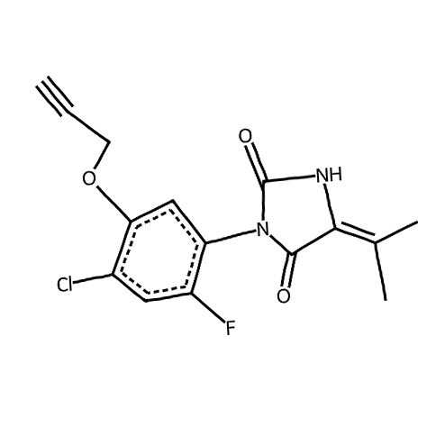 C#CCOc1cc(N2C(=O)NC(=C(C)C)C2=O)c(F)cc1Cl